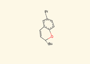 CC(C)c1ccc2c(c1)C=CC(C(C)(C)C)O2